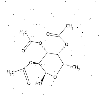 CC(=O)O[C@@H]1[C@H](OC(C)=O)[C@H](C)O[C@@H](O)[C@H]1OC(C)=O